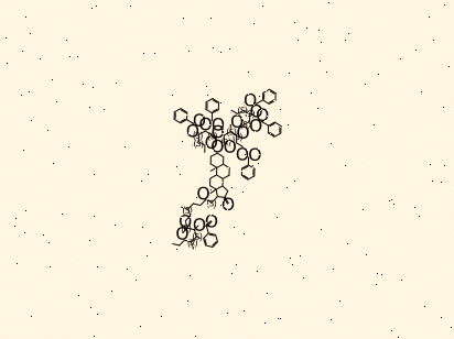 CCC1O[C@@H](OC[C@@H](C)CCC(=O)[C@@H](C)C2C(=O)CC3C4CCC5CC(O[C@@H]6OC(COC(=O)c7ccccc7)[C@@H](O[C@@H]7OC(C)[C@H](C)[C@H](OC(=O)c8ccccc8)C7OC(=O)c7ccccc7)[C@H](C)C6O[C@@H]6OC(C)[C@H](C)[C@H](OC(=O)c7ccccc7)C6OC(=O)c6ccccc6)CCC5(C)C4CCC32C)C(OC(=O)c2ccccc2)[C@@H](C)[C@H]1C